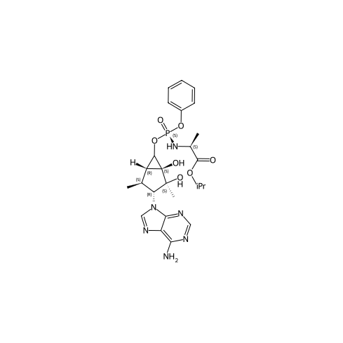 CC(C)OC(=O)[C@H](C)N[P@@](=O)(Oc1ccccc1)OC1[C@H]2[C@H](C)[C@@H](n3cnc4c(N)ncnc43)[C@](C)(O)[C@@]12O